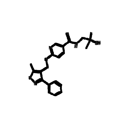 Cc1onc(-c2ccccc2)c1COc1ccc(C(=O)NCC(C)(C)O)cn1